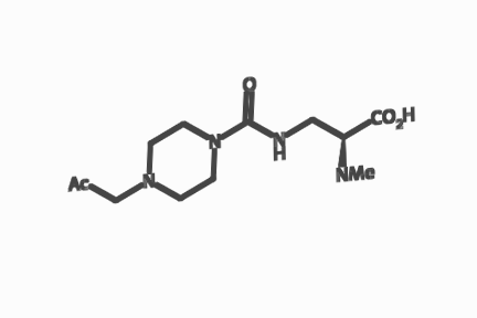 CN[C@@H](CNC(=O)N1CCN(CC(C)=O)CC1)C(=O)O